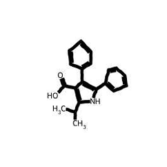 CC(C)c1[nH]c(-c2ccccc2)c(-c2ccccc2)c1C(=O)O